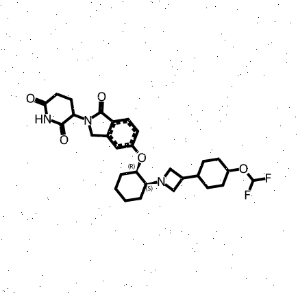 O=C1CCC(N2Cc3cc(O[C@@H]4CCCC[C@@H]4N4CC(C5CCC(OC(F)F)CC5)C4)ccc3C2=O)C(=O)N1